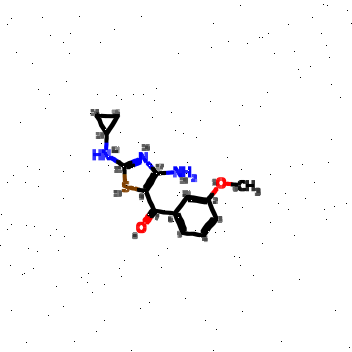 COc1cccc(C(=O)c2sc(NC3CC3)nc2N)c1